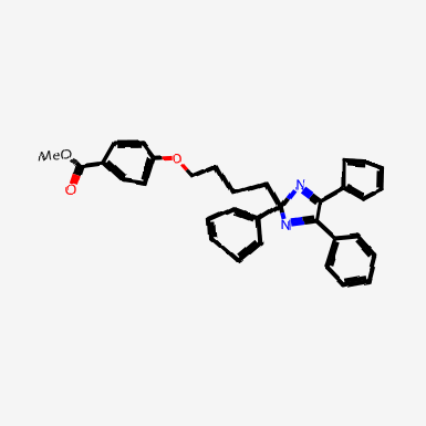 COC(=O)c1ccc(OCCCCC2(c3ccccc3)N=C(c3ccccc3)C(c3ccccc3)=N2)cc1